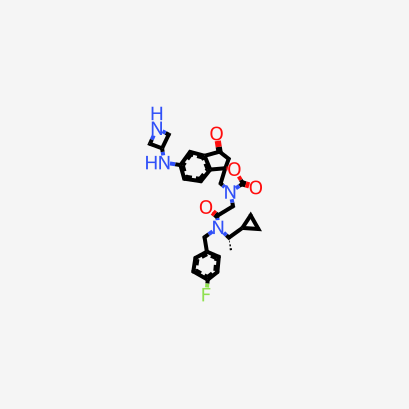 C[C@@H](C1CC1)N(Cc1ccc(F)cc1)C(=O)CN1CC2(CC(=O)c3cc(NC4CNC4)ccc32)OC1=O